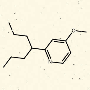 CCCC(CCC)c1cc(OC)ccn1